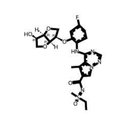 CCS(C)(=O)=NC(=O)c1cn2ncnc(Nc3ccc(F)cc3O[C@@H]3CO[C@H]4[C@@H]3OC[C@H]4O)c2c1C